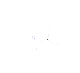 CC[C@@H](C)C(N)C(=O)C(C)C